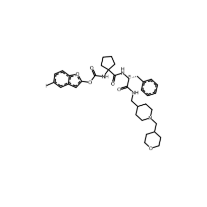 O=C(NC1(C(=O)N[C@H](Cc2ccccc2)C(=O)NCC2CCN(CC3CCOCC3)CC2)CCCC1)Oc1cc2cc(I)ccc2o1